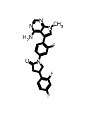 Cn1cc(-c2ccc(N3CC(c4ccc(F)cc4F)CC3=O)cc2F)c2c(N)ncnc21